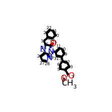 COC(=O)c1ccc(-c2cccc(-n3c(=O)c(Cc4ccccc4)nc4cccnc43)c2)cc1